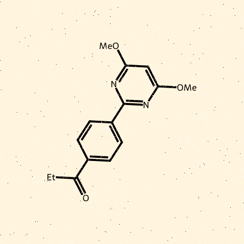 CCC(=O)c1ccc(-c2nc(OC)cc(OC)n2)cc1